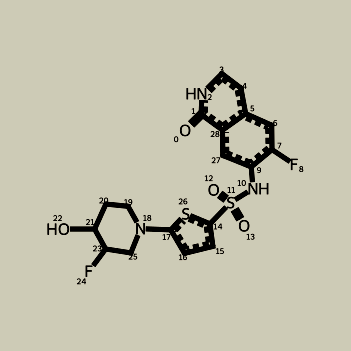 O=c1[nH]ccc2cc(F)c(NS(=O)(=O)c3ccc(N4CCC(O)C(F)C4)s3)cc12